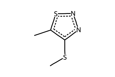 CSc1nnsc1C